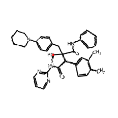 Cc1ccc(C(C(=O)Nc2ncccn2)C(Cc2ccc(N3CCCCC3)cc2)(C(=O)Nc2ccccc2)C(O)=S)cc1C